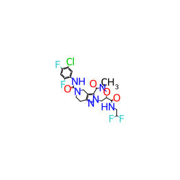 CN1OC(C(=O)NCC(F)F)Cn2nc3c(c2C1=O)CN(C(=O)Nc1cc(Cl)c(F)cc1F)CC3